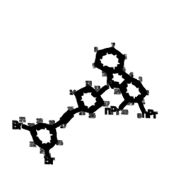 CCCc1ccc2c3ccccc3n(-c3ccc(C#Cc4cc(Br)cc(Br)c4)cc3)c2c1CCC